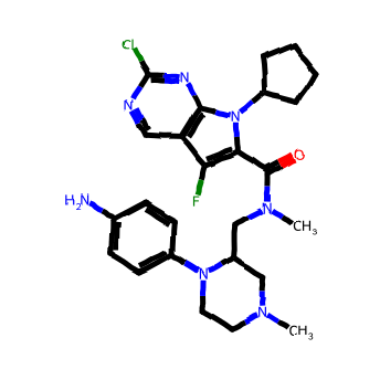 CN1CCN(c2ccc(N)cc2)C(CN(C)C(=O)c2c(F)c3cnc(Cl)nc3n2C2CCCC2)C1